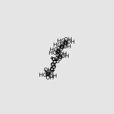 C[C@@H]1O[C@@H](O[C@H]2[C@H](OC(=O)[C@]34CCC(C)(C)CC3C3=CCC5[C@@]6(C)CC[C@H](O[C@@H]7O[C@H](CO)[C@@H](O)[C@H](O)[C@H]7O)C(C)(C)C6CC[C@@]5(C)[C@]3(C)CC4)OC[C@H](O)[C@@H]2O)[C@H](O)[C@H](O)[C@H]1O[C@@H]1OC[C@@H](O)[C@H](O[C@@H]2OC[C@@H](O)[C@H](O)[C@H]2O)[C@H]1O